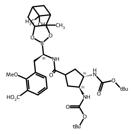 COc1c(C[C@H](NC(=O)C2C[C@H](NC(=O)OC(C)(C)C)[C@@H](NC(=O)OC(C)(C)C)C2)B2OC3CC4CC(C4(C)C)C3(C)O2)cccc1C(=O)O